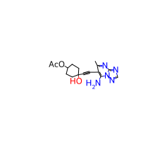 CC(=O)OC1CCC(O)(C#Cc2c(C)nc3ncnn3c2N)CC1